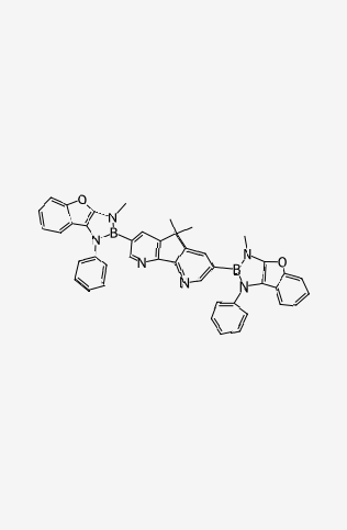 CN1B(c2cnc3c(c2)C(C)(C)c2cc(B4N(C)c5oc6ccccc6c5N4c4ccccc4)cnc2-3)N(c2ccccc2)c2c1oc1ccccc21